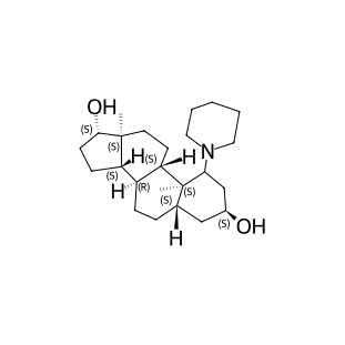 C[C@]12CC[C@H]3[C@@H](CC[C@H]4C[C@H](O)CC(N5CCCCC5)[C@@]43C)[C@@H]1CC[C@@H]2O